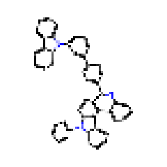 c1ccc(-n2c3ccccc3c3c4c(ccc32)c(-c2ccc(-c3cccc(-n5c6ccccc6c6ccccc65)c3)cc2)nc2ccccc24)cc1